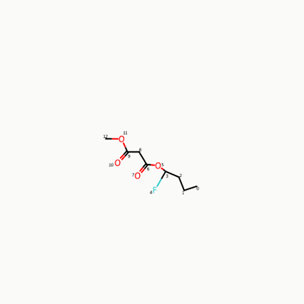 CCCC(F)OC(=O)CC(=O)OC